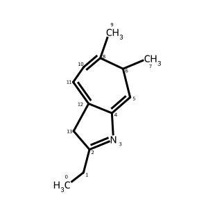 CCC1=NC2=CC(C)C(C)=CC=C2C1